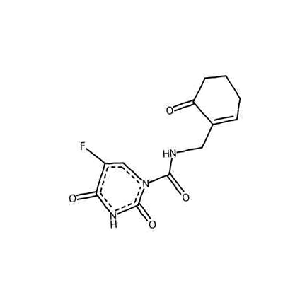 O=C1CCCC=C1CNC(=O)n1cc(F)c(=O)[nH]c1=O